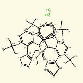 C[CH2][Hf](=[SiH2])([CH2]C)([CH]1c2cc(C(C)(C)C)ccc2-c2ccc(C(C)(C)C)c(C3=CC=CC3)c21)[CH]1c2cc(C(C)(C)C)ccc2-c2ccc(C(C)(C)C)c(C3=CC=CC3)c21.Cl.Cl